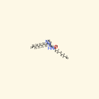 C=CCCCCCCCC(=O)NCCN1CCN=C1CCCCCCCC=C